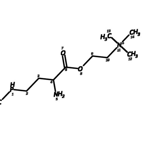 CPCCC(N)C(=O)OCC[N+](C)(C)C